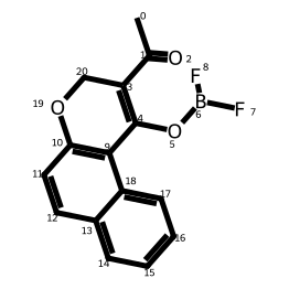 CC(=O)C1=C(OB(F)F)c2c(ccc3ccccc23)OC1